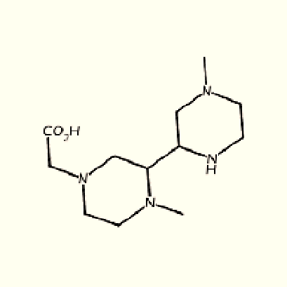 CN1CCNC(C2CN(CC(=O)O)CCN2C)C1